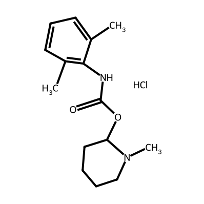 Cc1cccc(C)c1NC(=O)OC1CCCCN1C.Cl